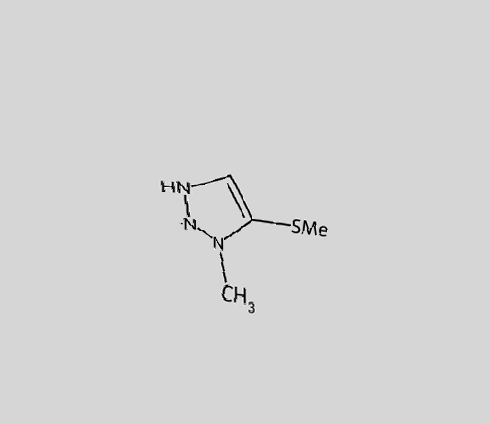 CSC1=CN[N]N1C